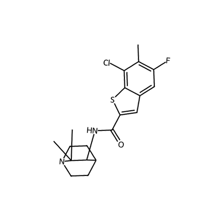 Cc1c(F)cc2cc(C(=O)NC3C4CCN(CC4)C3(C)C)sc2c1Cl